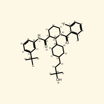 Cc1cccc(F)c1C(=O)N1CCCC(C(=O)Nc2cccc(C(C)(C)C)c2)[C@@H]1C1CCC(CCC(C)(C)O)CC1